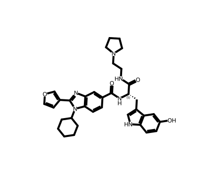 O=C(N[C@@H](Cc1c[nH]c2ccc(O)cc12)C(=O)NCCN1CCCC1)c1ccc2c(c1)nc(-c1ccoc1)n2C1CCCCC1